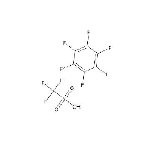 Fc1c(F)c(F)c(I)c(F)c1F.O=S(=O)(O)C(F)(F)F